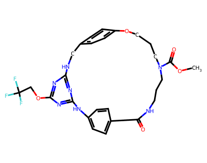 COC(=O)N1CCCNC(=O)c2ccc(cc2)Nc2nc(nc(OCC(F)(F)F)n2)NCc2ccc(cc2)OCCC1